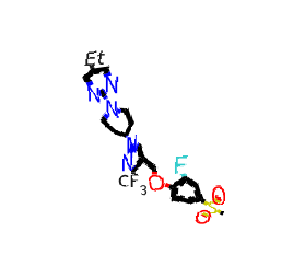 CCc1cnc(N2CCC(n3cc(COc4ccc(S(C)(=O)=O)cc4F)c(C(F)(F)F)n3)CC2)nc1